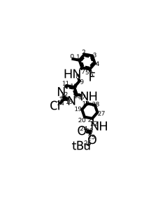 Cc1cccc(F)c1NCc1cnc(Cl)nc1N[C@H]1CC[C@@H](NC(=O)OC(C)(C)C)CC1